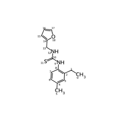 CCc1cc(C)ccc1NC(=S)NCc1ccco1